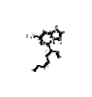 C=C/C=C\C=C(/C=C)c1nc(N)cc2ncnn12